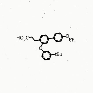 CC(C)(C)c1cccc(Oc2cc(-c3ccc(OC(F)(F)F)cc3)ccc2CCC(=O)O)c1